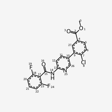 COC(=O)c1ccc(Cl)c(-c2ccc(NC(=O)c3c(F)cccc3F)nc2)c1